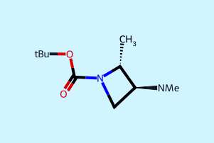 CN[C@H]1CN(C(=O)OC(C)(C)C)[C@@H]1C